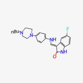 CCCCN1CCN(c2ccc(N/C=C3/C(=O)Nc4ccc(F)cc43)cc2)CC1